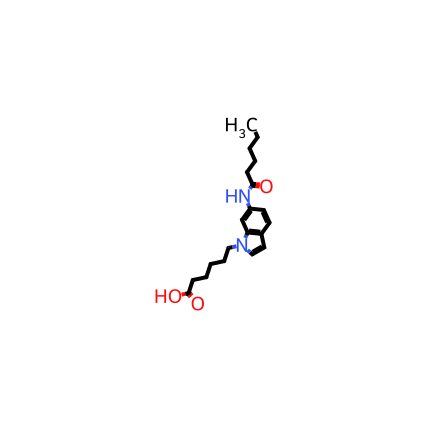 CCCCCC(=O)Nc1ccc2ccn(CCCCCC(=O)O)c2c1